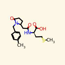 CSCC[C@@H](NC(=O)CC1CCC(=O)N1Cc1ccc(C)cc1)C(=O)O